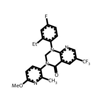 CCc1cc(F)ccc1N1CN(c2ccc(OC)nc2C)C(=O)c2cc(C(F)(F)F)cnc21